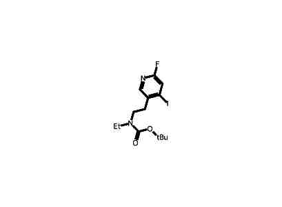 CCN(CCc1cnc(F)cc1I)C(=O)OC(C)(C)C